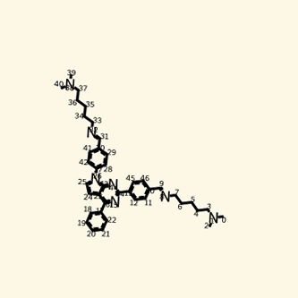 CN(C)CCCCC/N=C/c1ccc(-c2nc(-c3ccccc3)c3ccn(-c4ccc(/C=N/CCCCCN(C)C)cc4)c3n2)cc1